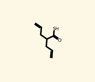 C=CCC(CC=C)C(=O)S